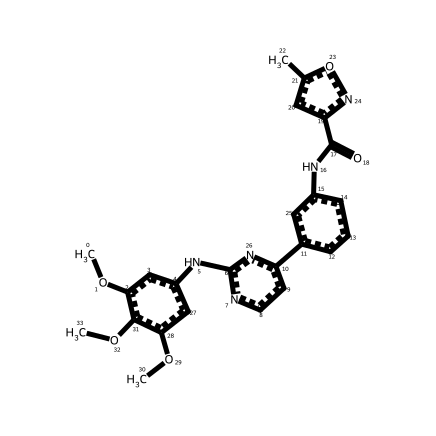 COc1cc(Nc2nccc(-c3cccc(NC(=O)c4cc(C)on4)c3)n2)cc(OC)c1OC